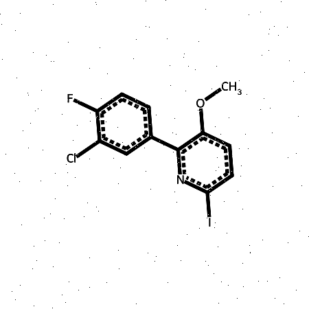 COc1ccc(I)nc1-c1ccc(F)c(Cl)c1